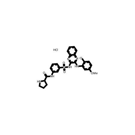 COc1ccc(Cl)c(Nc2nc3ccccc3nc2NS(=O)(=O)c2cccc(NC(=O)C3CCCN3)c2)c1.Cl